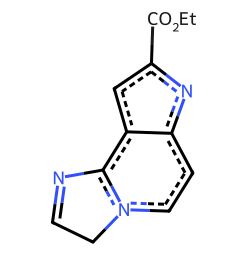 CCOC(=O)c1cc2c3n(ccc-2n1)CC=N3